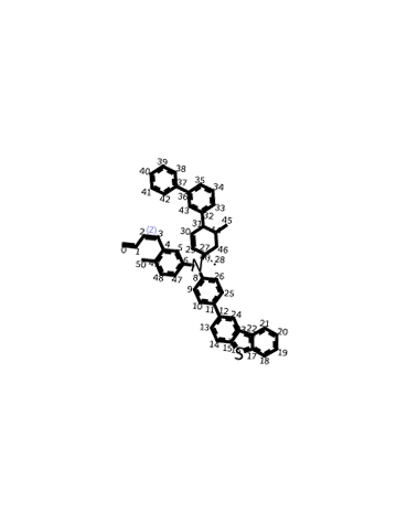 C=C/C=C\c1cc(N(c2ccc(-c3ccc4sc5ccccc5c4c3)cc2)[C@@]2(C)C=CC(c3cccc(-c4ccccc4)c3)C(C)C2)ccc1C